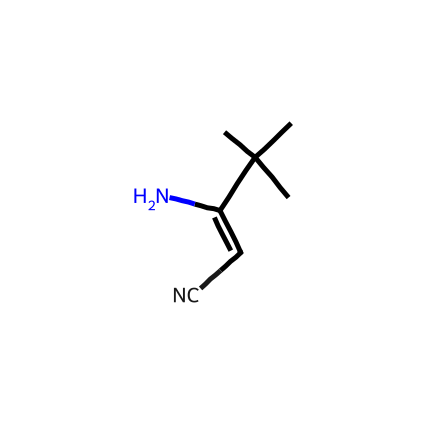 CC(C)(C)/C(N)=C/C#N